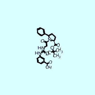 CC(C)(C)OC(=O)[C@@H]1CCC(c2ccccc2)N1C(=O)CNC(=O)Nc1cccc(C(=O)O)c1